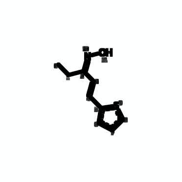 CCC(/C=C/c1cccs1)=N/O